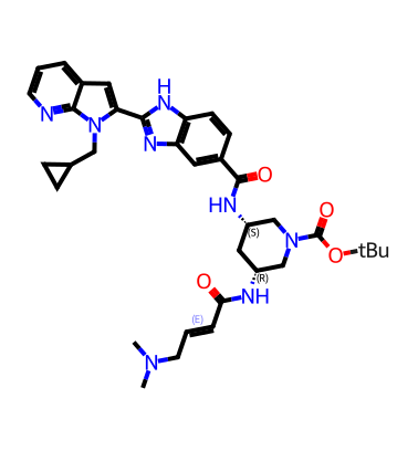 CN(C)C/C=C/C(=O)N[C@@H]1C[C@H](NC(=O)c2ccc3[nH]c(-c4cc5cccnc5n4CC4CC4)nc3c2)CN(C(=O)OC(C)(C)C)C1